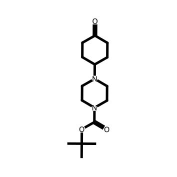 CC(C)(C)OC(=O)N1CCN(C2CCC(=O)CC2)CC1